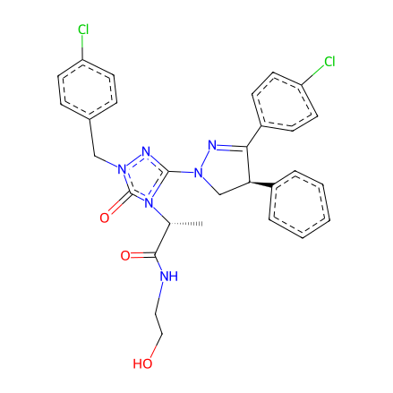 C[C@H](C(=O)NCCO)n1c(N2C[C@H](c3ccccc3)C(c3ccc(Cl)cc3)=N2)nn(Cc2ccc(Cl)cc2)c1=O